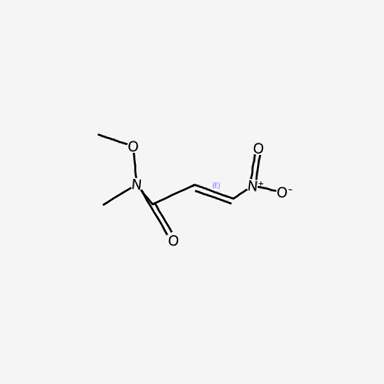 CON(C)C(=O)/C=C/[N+](=O)[O-]